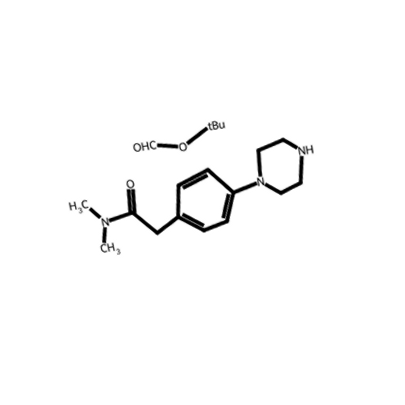 CC(C)(C)OC=O.CN(C)C(=O)Cc1ccc(N2CCNCC2)cc1